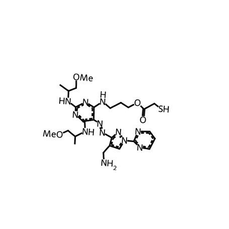 COCC(C)Nc1nc(NCCCOC(=O)CS)c(N=Nc2nn(-c3ncccn3)cc2CN)c(NC(C)COC)n1